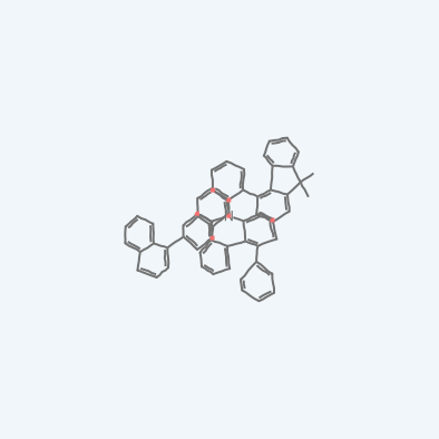 CC1(C)c2ccccc2-c2c(-c3ccccc3N(c3ccc(-c4cccc5ccccc45)cc3)c3cccc(-c4ccccc4)c3-c3ccccc3-c3ccccc3)cccc21